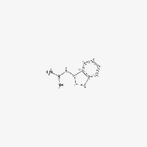 N=C(N)SC1CCc2ccccc21